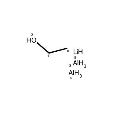 CCO.[AlH3].[AlH3].[LiH]